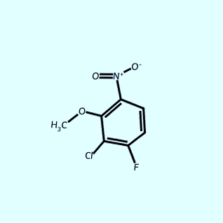 COc1c([N+](=O)[O-])ccc(F)c1Cl